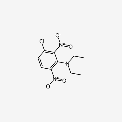 CCN(CC)c1c([N+](=O)[O-])ccc(Cl)c1[N+](=O)[O-]